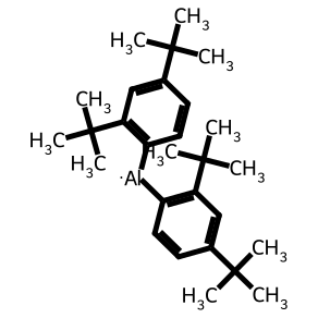 CC(C)(C)c1cc[c]([Al][c]2ccc(C(C)(C)C)cc2C(C)(C)C)c(C(C)(C)C)c1